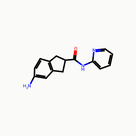 Nc1ccc2c(c1)CC(C(=O)Nc1ccccn1)C2